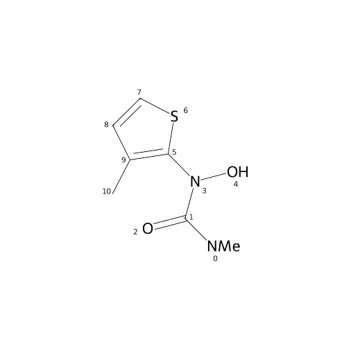 CNC(=O)N(O)c1sccc1C